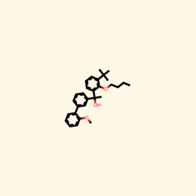 CCCCOc1c(C(C)(C)C)cccc1C(C)(O)c1cccc(-c2ccccc2OC)c1